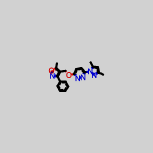 Cc1cc(C)n(-c2ccc(OCc3c(-c4ccccc4)noc3C)nn2)n1